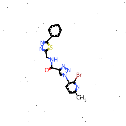 Cc1ccc(-n2cc(C(=O)NCc3nnc(-c4ccccc4)s3)nn2)c(Br)n1